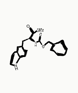 COC(=O)[C@H](Cc1ccc2[nH]ccc2c1)NC(=O)OCc1ccccc1